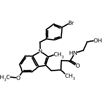 COc1ccc2c(c1)c(CC(C)CC(=O)NCCO)c(C)n2Cc1ccc(Br)cc1